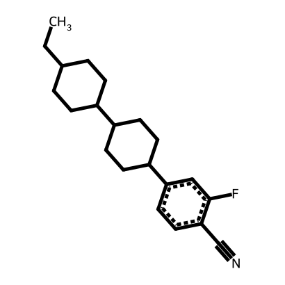 CCC1CCC(C2CCC(c3ccc(C#N)c(F)c3)CC2)CC1